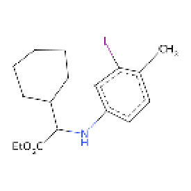 CCOC(=O)C(Nc1ccc(C)c(I)c1)C1CCCCC1